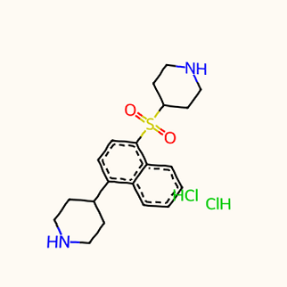 Cl.Cl.O=S(=O)(c1ccc(C2CCNCC2)c2ccccc12)C1CCNCC1